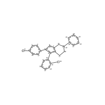 Clc1ccc(-c2cc3c(n2-c2ccccc2Cl)CCN(c2ccccc2)C3)cc1